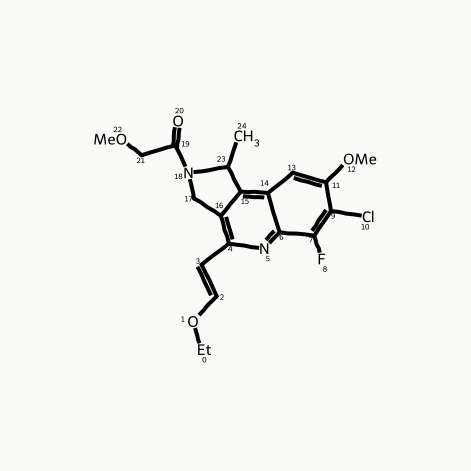 CCO/C=C/c1nc2c(F)c(Cl)c(OC)cc2c2c1CN(C(=O)COC)C2C